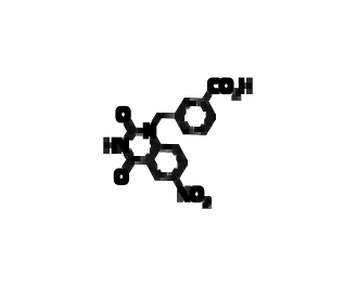 O=C(O)c1cccc(Cn2c(=O)[nH]c(=O)c3cc([N+](=O)[O-])ccc32)c1